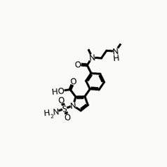 CNCCN(C)C(=O)c1cccc(-c2ccn(S(N)(=O)=O)c2C(=O)O)c1